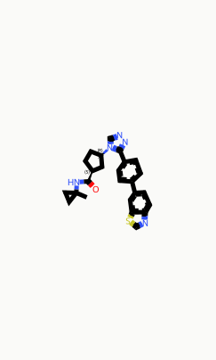 CC1(NC(=O)[C@H]2CC[C@@H](n3cnnc3-c3ccc(-c4ccc5ncsc5c4)cc3)C2)CC1